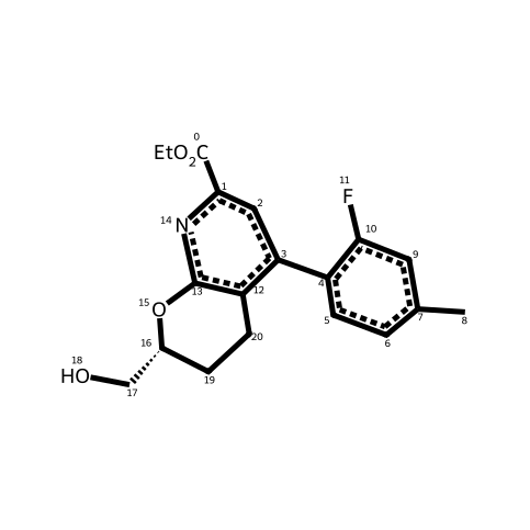 CCOC(=O)c1cc(-c2ccc(C)cc2F)c2c(n1)O[C@@H](CO)CC2